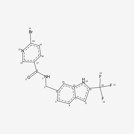 O=C(NCc1ccc2cc(C(F)(F)F)[nH]c2c1)c1ccc(Br)nc1